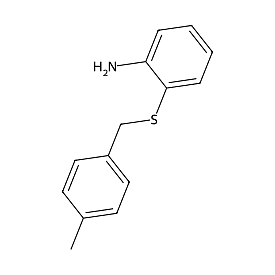 Cc1ccc(CSc2ccccc2N)cc1